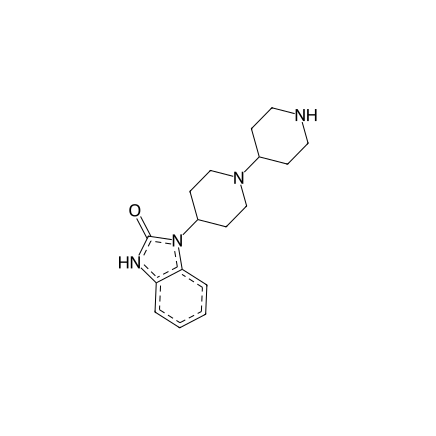 O=c1[nH]c2ccccc2n1C1CCN(C2CCNCC2)CC1